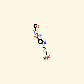 CCCOCCOCCn1cnc2cc(C(=O)Nc3nnc(-c4ccco4)s3)ccc21